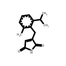 Cc1cccc(C(C)C)c1CC1=CC(=O)NC1=O